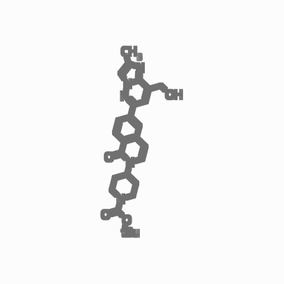 Cc1cn2nc(-c3ccc4c(=O)n(C5CCN(C(=O)OC(C)(C)C)CC5)ccc4c3)cc(CO)c2n1